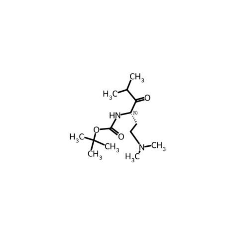 CC(C)C(=O)[C@H](CCN(C)C)NC(=O)OC(C)(C)C